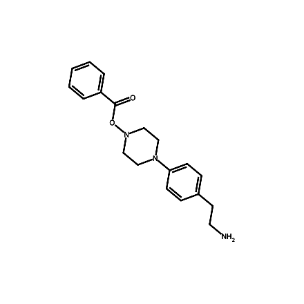 NCCc1ccc(N2CCN(OC(=O)c3ccccc3)CC2)cc1